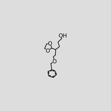 OCCCC(CCOCc1ccccc1)C1OCCO1